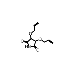 C=CCOC1C(=O)NC(=O)C1OCC=C